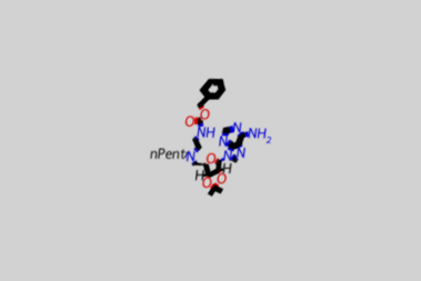 CCCCCN(CCNC(=O)OCc1ccccc1)C[C@H]1O[C@@H](n2cnc3c(N)ncnc32)[C@@H]2OC(C)(C)O[C@@H]21